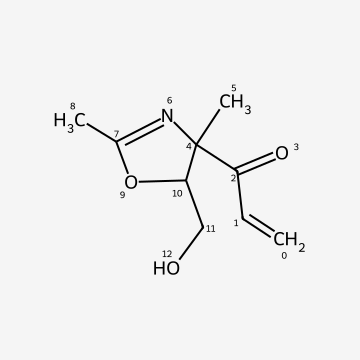 C=CC(=O)C1(C)N=C(C)OC1CO